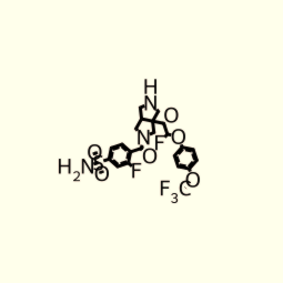 NS(=O)(=O)c1ccc(C(=O)N2CC3CNCC3(C(=O)C(F)Oc3ccc(OC(F)(F)F)cc3)C2)c(F)c1